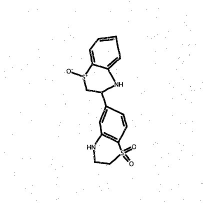 O=S1(=O)CCNc2cc(C3C[S+]([O-])c4ccccc4N3)ccc21